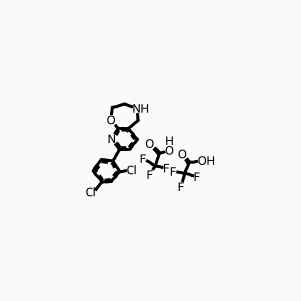 Clc1ccc(-c2ccc3c(n2)OCCNC3)c(Cl)c1.O=C(O)C(F)(F)F.O=C(O)C(F)(F)F